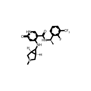 C[C@@H](NC(=O)c1c[nH]c(=O)cc1NC1[C@H]2CN(C)C[C@@H]12)c1cccc(C(F)(F)F)c1F